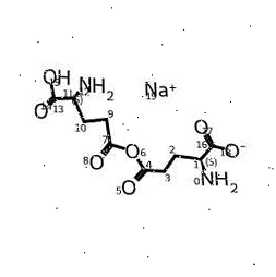 N[C@@H](CCC(=O)OC(=O)CC[C@H](N)C(=O)O)C(=O)[O-].[Na+]